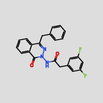 O=C(Cc1cc(F)cc(F)c1)Nn1nc(Cc2ccccc2)c2ccccc2c1=O